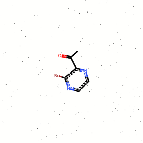 CC(=O)c1nccnc1Br